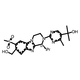 Cc1nc(N2CCn3c(nc4cc(CO)c(S(C)(=O)=O)cc43)[C@@H]2C(C)C)ncc1C(C)(C)O